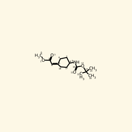 COC(=O)C=C1CCC(NC(=O)OC(C)(C)C)CC1